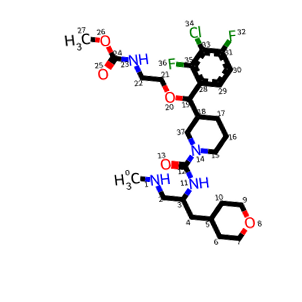 CNCC(CC1CCOCC1)NC(=O)N1CCCC(C(OCCNC(=O)OC)c2ccc(F)c(Cl)c2F)C1